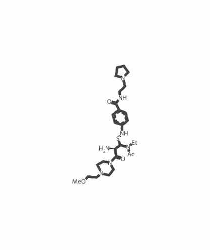 CCN(C(C)=O)C(SNc1ccc(C(=O)NCCN2CCCC2)cc1)[C@H](N)C(=O)N1CCN(CCOC)CC1